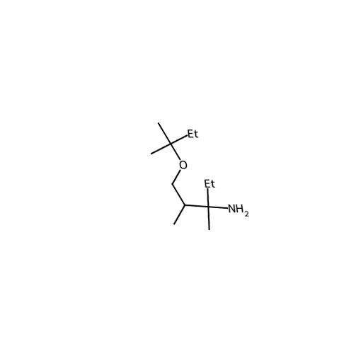 CCC(C)(C)OCC(C)C(C)(N)CC